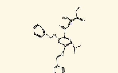 COC(=O)/C(O)=C/C(=O)c1cc(C(C)C)c(OCc2ccccc2)cc1OCc1ccccc1